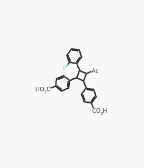 CC(=O)C1C(c2ccc(C(=O)O)cc2)C(c2ccc(C(=O)O)cc2)C1c1ccccc1F